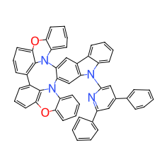 c1ccc(-c2cc(-c3ccccc3)nc(-n3c4ccccc4c4cc5c(cc43)n3c4ccccc4oc4cccc(c6cccc7oc8ccccc8n5c76)c43)c2)cc1